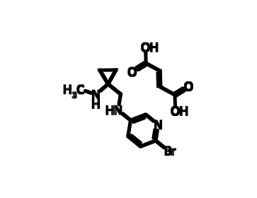 CNC1(CNc2ccc(Br)nc2)CC1.O=C(O)/C=C/C(=O)O